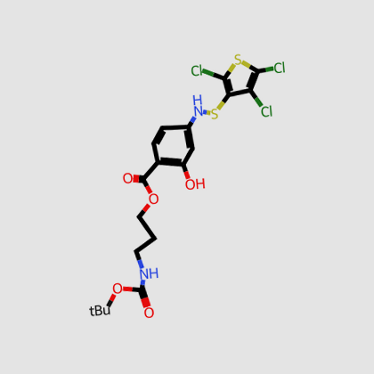 CC(C)(C)OC(=O)NCCCOC(=O)c1ccc(NSc2c(Cl)sc(Cl)c2Cl)cc1O